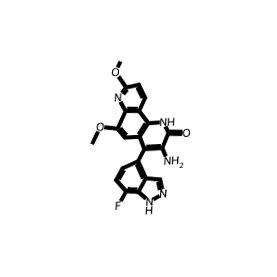 COc1ccc2c(n1)c(OC)cc1c(-c3ccc(F)c4[nH]ncc34)c(N)c(=O)[nH]c12